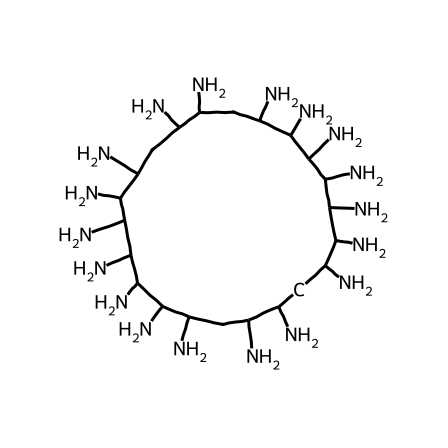 NC1CC(N)C(N)C(N)C(N)C(N)C(N)C(N)CC(N)C(N)CC(N)C(N)C(N)C(N)C(N)C(N)C(N)CC1N